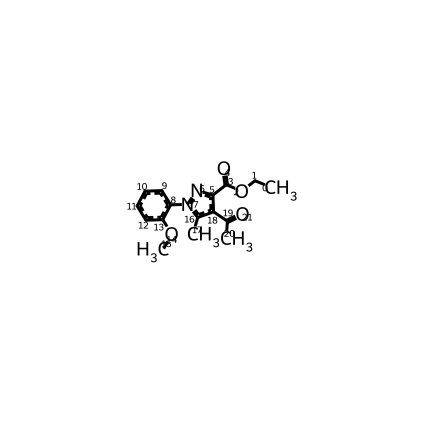 CCOC(=O)c1nn(-c2ccccc2OC)c(C)c1C(C)=O